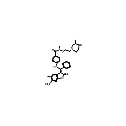 Cc1cc2c(cc1C(=O)O)NC(=O)C2=C(Nc1ccc(C(=O)N(C)OCCN2CCNC(C)C2)cc1)c1ccccc1